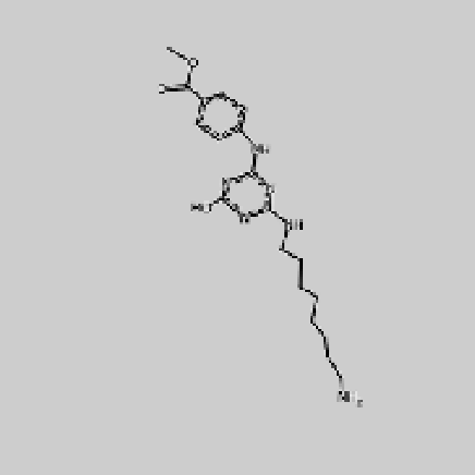 COC(=O)c1ccc(Nc2nc(O)nc(NCCCCCCCCN)n2)cc1